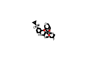 O=S(=O)(c1ccc(Nc2ncnc(OC3C4COCC3CN(c3ncc(F)cn3)C4)c2F)c(F)c1)C1CC1